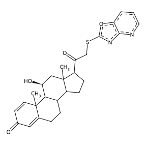 CC12C=CC(=O)C=C1CCC1C2[C@@H](O)CC2(C)C(C(=O)CSc3nc4ncccc4o3)CCC12